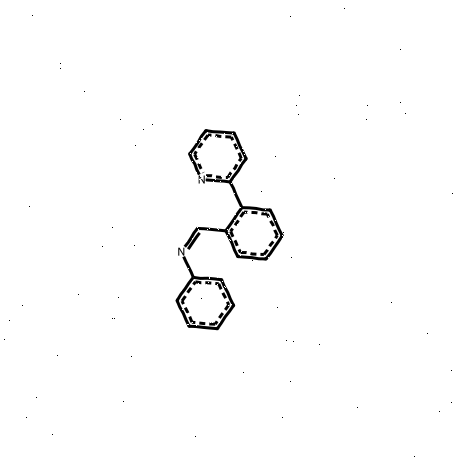 C(=N/c1ccccc1)/c1ccccc1-c1ccccn1